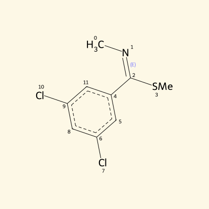 C/N=C(/SC)c1cc(Cl)cc(Cl)c1